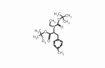 CCN(C(=O)OC(C)(C)C)C(Cc1ccc(C)cc1)C(=O)OC(C)(C)C